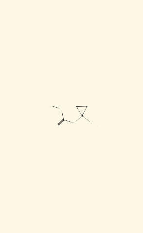 CC(C)(C)OC(=O)NC1(N)CC1